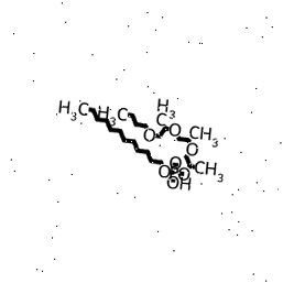 CCCCCCCCCCCCOP(=O)(O)OC(C)COC(C)COC(C)COCCCC